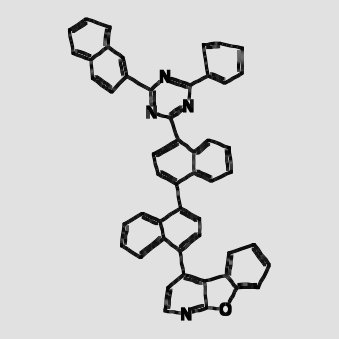 c1ccc(-c2nc(-c3ccc4ccccc4c3)nc(-c3ccc(-c4ccc(-c5ccnc6oc7ccccc7c56)c5ccccc45)c4ccccc34)n2)cc1